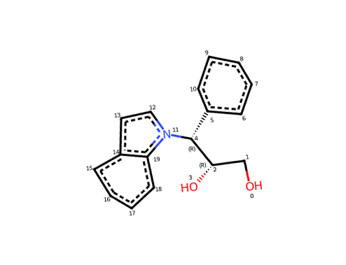 OC[C@H](O)[C@@H](c1ccccc1)n1ccc2ccccc21